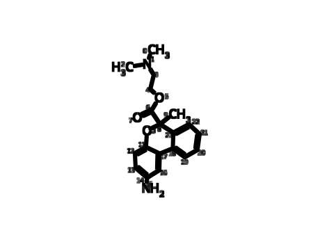 CN(C)CCOC(=O)C1(C)Oc2ccc(N)cc2-c2ccccc21